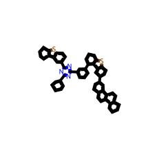 c1ccc(-c2nc(-c3cccc(-c4cccc5sc6ccc(-c7ccc8ccc9c%10ccccc%10ccc9c8c7)cc6c45)c3)nc(-c3ccc4sc5ccccc5c4c3)n2)cc1